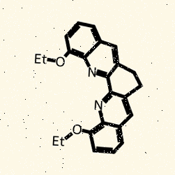 CCOc1cccc2cc3c(nc12)-c1nc2c(OCC)cccc2cc1CC3